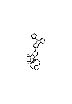 O=c1c2cc(-c3ccc4c(c3)c3ccccc3n4-c3ccccc3)ccc2n2c3c4ccc(c3c(=O)n12)CCc1ccc(cc1)CC4